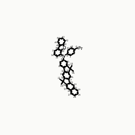 CC(C)c1ccc(N(c2ccc3c(c2)C(C)(C)c2cc4c(cc2-3)C(C)(C)c2cc3ccccc3cc2-4)c2cccc3c2oc2ccccc23)cc1